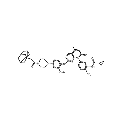 COc1cc(N2CCN(C(=O)CC34CC5CC(CC(C5)C3)C4)CC2)ccc1Nc1ncc2c(C)cc(=O)n(-c3ccc(C(F)(F)F)c(NC(=O)C4CC4)c3)c2n1